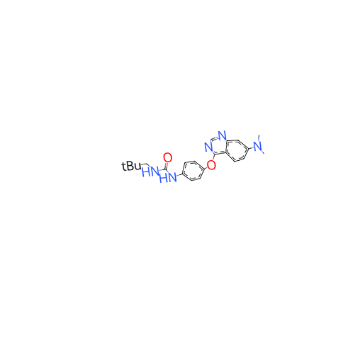 CN(C)c1ccc2c(Oc3ccc(NC(=O)NCC(C)(C)C)cc3)ncnc2c1